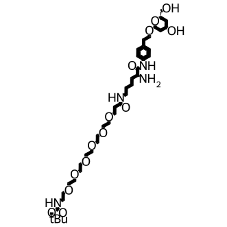 CC(C)(C)OC(=O)NCCOCCOCCOCCOCCOCCOCCC(=O)NCCCC[C@H](N)C(=O)Nc1ccc(CCO[C@H]2CC(O)C[C@@H](CO)O2)cc1